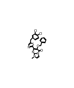 Cn1ccn2c(=O)c(OCc3ccccc3)c(-c3ncc(Cc4ccc(Cl)c(Cl)c4)s3)nc12